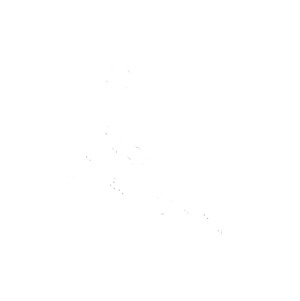 Cc1nn(C)c(COc2ccc(N3CCN(SN(C)C)CC3)cc2)c1-c1cccc2c(CCCOc3cccc4ccccc34)c(C(=O)O)n(CCN3CCOCC3)c12